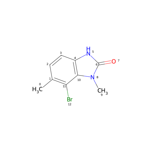 Cc1ccc2[nH]c(=O)n(C)c2c1Br